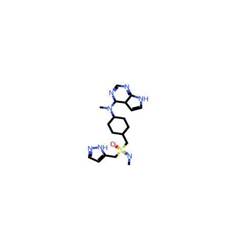 CN=S(=O)(Cc1ccn[nH]1)CC1CCC(N(C)C2N=CN=C3NC=CC32)CC1